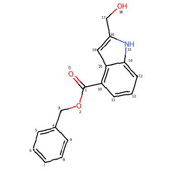 O=C(OCc1ccccc1)c1cccc2[nH]c(CO)cc12